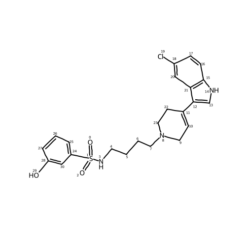 O=S(=O)(NCCCCN1CC=C(c2c[nH]c3ccc(Cl)cc23)CC1)c1cccc(O)c1